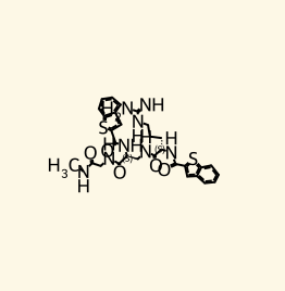 CNC(=O)CNC(=O)[C@H](CNC(=O)[C@H](CCCNC(=N)N)NC(=O)c1cc2ccccc2s1)NC(=O)c1cc2ccccc2s1